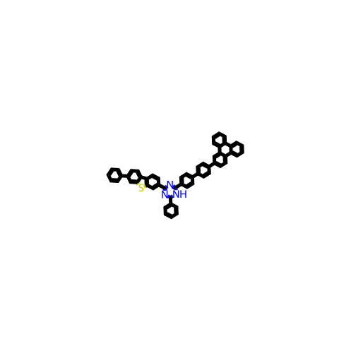 c1ccc(-c2ccc3c(c2)sc2cc(C4=NC(c5ccccc5)NC(c5ccc(-c6ccc(-c7ccc8c9ccccc9c9ccccc9c8c7)cc6)cc5)=N4)ccc23)cc1